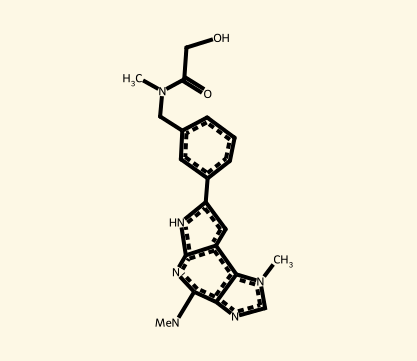 CNc1nc2[nH]c(-c3cccc(CN(C)C(=O)CO)c3)cc2c2c1ncn2C